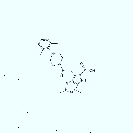 Cc1cc(C)c2[nH]c(C(=O)O)c(CC(=O)N3CCN(c4c(C)cccc4C)CC3)c2c1